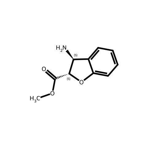 COC(=O)[C@H]1Oc2ccccc2[C@@H]1N